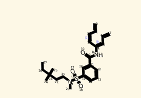 C=C/C=C\C(=C/C=C)NC(=O)c1cccc(S(=O)(=O)N(C)CCC(C)(C)CC)c1